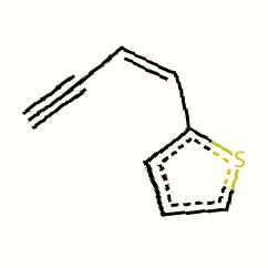 C#C/C=C\c1cccs1